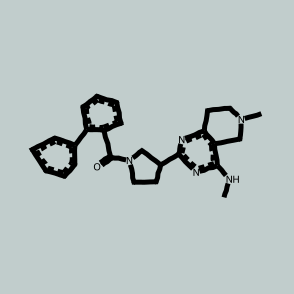 CNc1nc(C2CCN(C(=O)c3ccccc3-c3ccccc3)C2)nc2c1CN(C)CC2